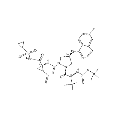 C=CC1C[C@]1(NC(=O)[C@@H]1C[C@@H](Oc2nccc3cc(F)ccc23)CN1C(=O)[C@@H](NC(=O)OC(C)(C)C)C(C)(C)C)C(=O)NS(=O)(=O)C1CC1